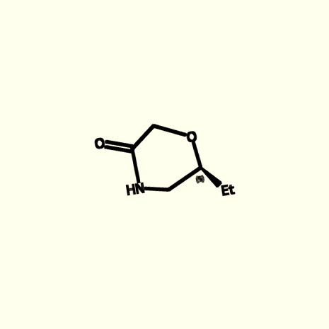 CC[C@H]1CNC(=O)CO1